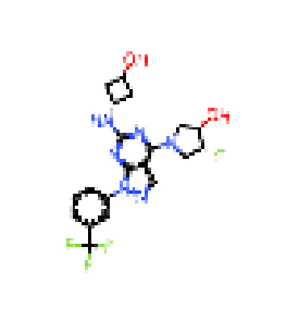 O[C@@H]1CN(c2nc(N[C@H]3C[C@H](O)C3)nc3c2cnn3-c2cccc(C(F)(F)F)c2)C[C@H]1F